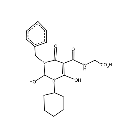 O=C(O)CNC(=O)C1=C(O)N(C2CCCCC2)C(O)N(Cc2ccccc2)C1=O